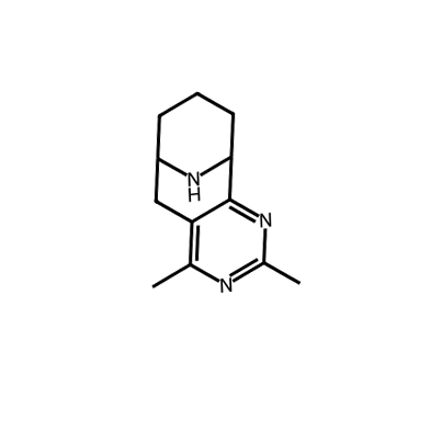 Cc1nc(C)c2c(n1)C1CCCC(C2)N1